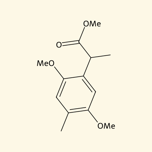 COC(=O)C(C)c1cc(OC)c(C)cc1OC